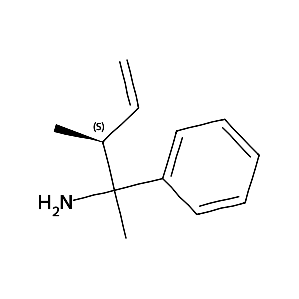 C=C[C@H](C)C(C)(N)c1ccccc1